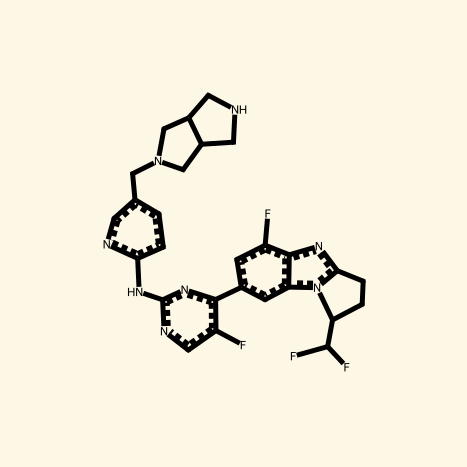 Fc1cnc(Nc2ccc(CN3CC4CNCC4C3)cn2)nc1-c1cc(F)c2nc3n(c2c1)C(C(F)F)CC3